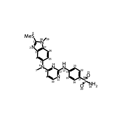 CSc1nc2cc(N(C)c3ccnc(Nc4ccc(S(N)(=O)=O)cc4)n3)ccc2n1C